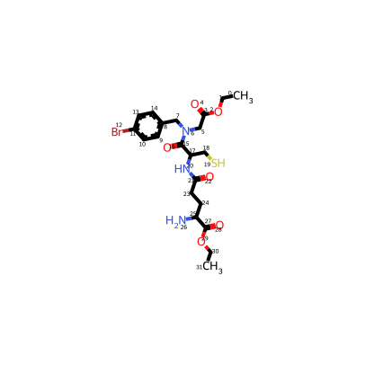 CCOC(=O)CN(Cc1ccc(Br)cc1)C(=O)C(CS)NC(=O)CCC(N)C(=O)OCC